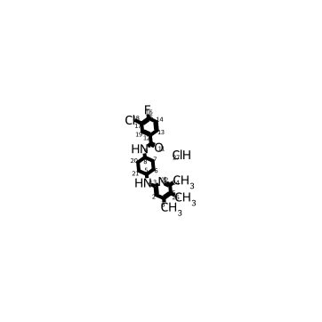 Cc1cc(NC2CCC(NC(=O)c3ccc(F)c(Cl)c3)CC2)nc(C)c1C.Cl